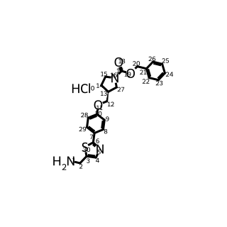 Cl.NCc1cnc(-c2ccc(OC[C@H]3CCN(C(=O)OCc4ccccc4)C3)cc2)s1